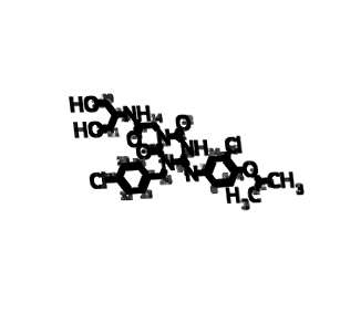 CC(C)Oc1ccc(/N=c2\[nH]c(=O)n(CC(=O)NC(CO)CO)c(=O)n2Cc2ccc(Cl)cc2)cc1Cl